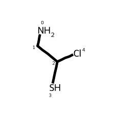 NCC(S)Cl